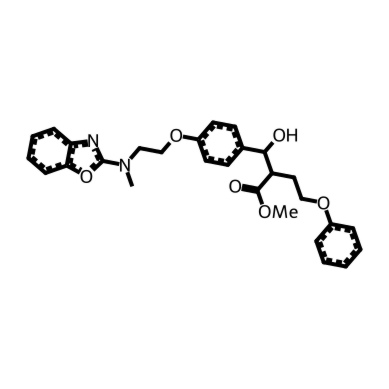 COC(=O)C(CCOc1ccccc1)C(O)c1ccc(OCCN(C)c2nc3ccccc3o2)cc1